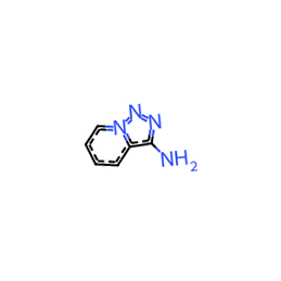 Nc1nnn2ccccc12